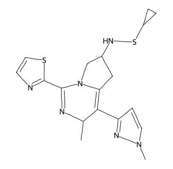 CC1N=C(c2nccs2)N2CC(NSC3CC3)CC2=C1c1ccn(C)n1